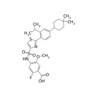 COc1cc(C(=O)O)c(F)cc1NS(=O)(=O)c1csc(-c2ccc(C3CCC(C)(C)CC3)cc2C(C)C)n1